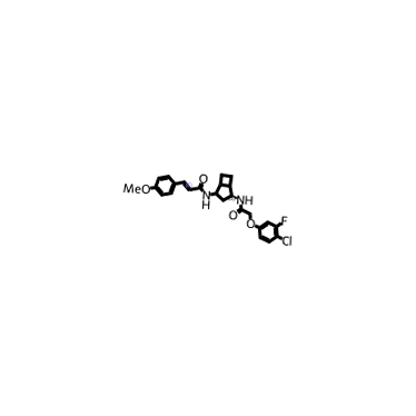 COc1ccc(/C=C/C(=O)NC2C[C@H](NC(=O)COc3ccc(Cl)c(F)c3)C3CCC23)cc1